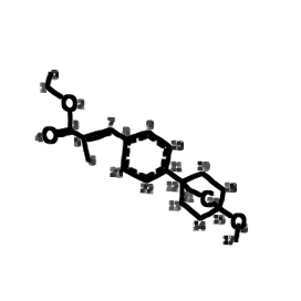 CCOC(=O)/C(C)=C/c1ccc(C23CCC(OC)(CC2)CC3)cc1